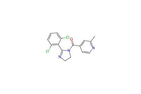 Cc1cc(C(=O)N2CCN=C2c2c(Cl)cccc2Cl)ccn1